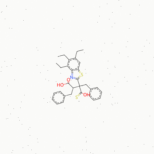 CCc1cc2sc(C(Cc3ccccc3)(C(O)=S)C(Cc3ccccc3)C(=O)O)nc2c(CC)c1CC